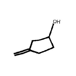 C=C1[CH]CC(O)C1